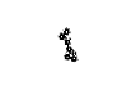 Cc1cc(-c2ccc(Nc3ccccc3-c3ccccc3)c(C)c2)ccc1Nc1ccccc1-c1ccccc1